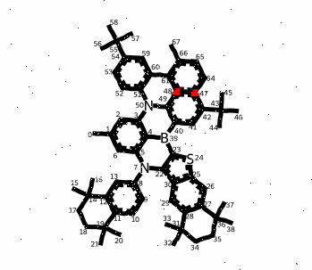 Cc1cc2c3c(c1)N(c1ccc4c(c1)C(C)(C)CCC4(C)C)c1c(sc4cc5c(cc14)C(C)(C)CCC5(C)C)B3c1cc(C(C)(C)C)ccc1N2c1ccc(C(C)(C)C)cc1-c1ccccc1C